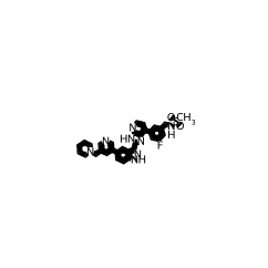 CS(=O)(=O)NCc1cc(F)cc(-c2ccnc3[nH]c(-c4n[nH]c5ccc(-c6cncc(CN7CCCCC7)c6)cc45)nc23)c1